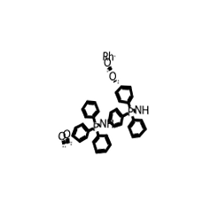 N=P(c1ccccc1)(c1ccccc1)c1ccccc1.N=P(c1ccccc1)(c1ccccc1)c1ccccc1.[C]=O.[C]=O.[C]=O.[C]=O.[Rh]